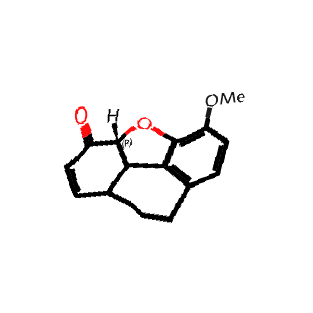 COc1ccc2c3c1O[C@H]1C(=O)C=CC(CC2)C31